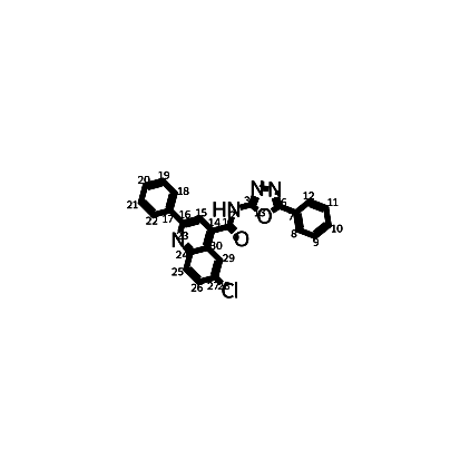 O=C(Nc1nnc(-c2ccccc2)o1)c1cc(-c2ccccc2)nc2ccc(Cl)cc12